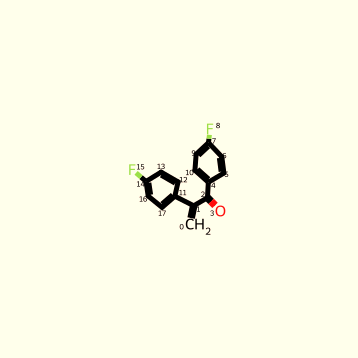 C=C(C(=O)c1ccc(F)cc1)c1ccc(F)cc1